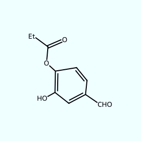 CCC(=O)Oc1ccc(C=O)cc1O